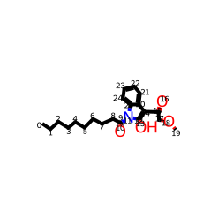 CCCCCCCCCC(=O)n1c(O)c(C(=O)COC)c2ccccc21